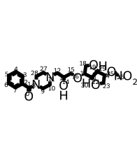 O=C(c1ccccc1)N1CCN(CC(O)CO[C@H]2CO[C@H]3[C@@H]2OC[C@H]3O[N+](=O)[O-])CC1